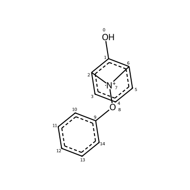 Oc1c2cccc1[N+]2Oc1ccccc1